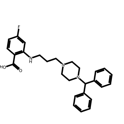 O=C(O)c1ccc(F)cc1NCCCN1CCN(C(c2ccccc2)c2ccccc2)CC1